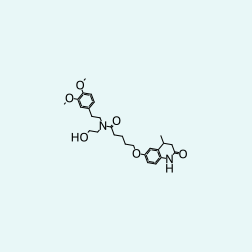 COc1ccc(CCN(CCO)C(=O)CCCCOc2ccc3c(c2)C(C)CC(=O)N3)cc1OC